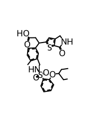 CCC(CC)Oc1ccccc1S(=O)(=O)NCc1cc(C(CC(=O)O)c2cc3c(s2)C(=O)NC3)ccc1C